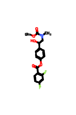 CN(CC(O)c1ccc(OC(=O)c2ccc(F)cc2F)cc1)C(=O)OC(C)(C)C